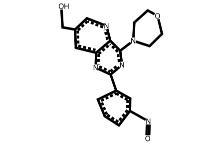 O=Nc1cccc(-c2nc(N3CCOCC3)c3ncc(CO)cc3n2)c1